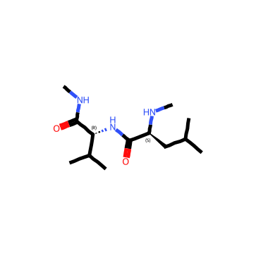 CNC(=O)[C@H](NC(=O)[C@H](CC(C)C)NC)C(C)C